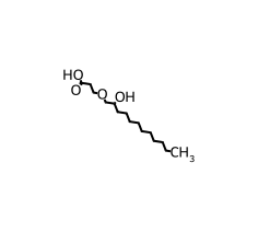 CCCCCCCCCCC(O)COCCC(=O)O